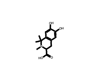 CN1C(C(=O)O)Cc2cc(O)c(O)cc2C1(C)C